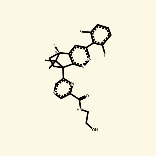 CC1(C)[C@@H]2CCC1(c1cncc(C(=O)NCCO)n1)c1nnc(-c3c(F)cccc3F)cc12